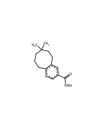 COC(=O)c1cnc2c(c1)CCC(C)(C)CCC2